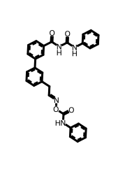 O=C(NC(=O)c1cccc(-c2cccc(CC=NOC(=O)Nc3ccccc3)c2)c1)Nc1ccccc1